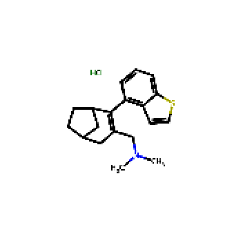 CN(C)CC1=C(c2cccc3sccc23)C2CCC(C1)C2.Cl